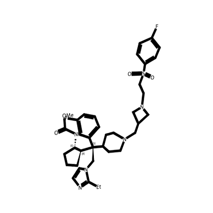 CCc1nccn1C[C@@](c1cccc(F)c1)(C1CCN(CC2CN(CCS(=O)(=O)c3ccc(F)cc3)C2)CC1)[C@H]1CCC[C@@H]1NC(=O)OC